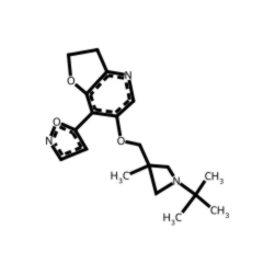 CC1(COc2cnc3c(c2-c2ccno2)OCC3)CN(C(C)(C)C)C1